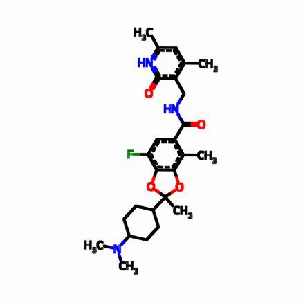 Cc1cc(C)c(CNC(=O)c2cc(F)c3c(c2C)OC(C)(C2CCC(N(C)C)CC2)O3)c(=O)[nH]1